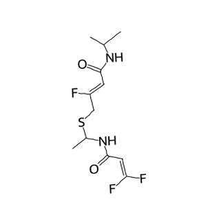 CC(C)NC(=O)/C=C(\F)CSC(C)NC(=O)C=C(F)F